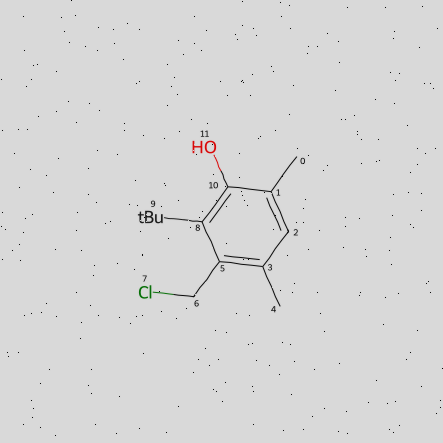 Cc1cc(C)c(CCl)c(C(C)(C)C)c1O